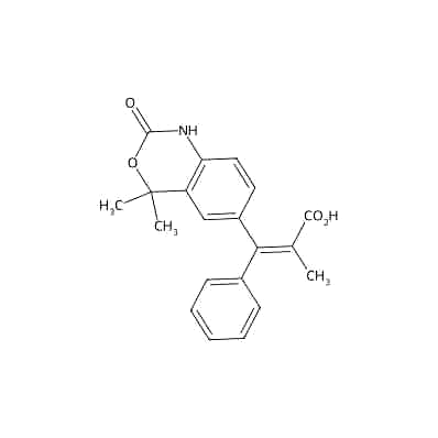 C/C(C(=O)O)=C(\c1ccccc1)c1ccc2c(c1)C(C)(C)OC(=O)N2